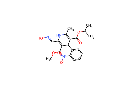 COC(=O)C1=C(C=NO)NC(C)=C(C(=O)OC(C)C)C1c1ccccc1[N+](=O)[O-]